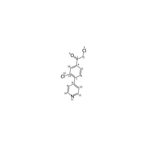 O=C(CCl)c1ccc(-c2ccncc2)c(Cl)c1